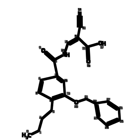 CCCCc1ccc(C(=O)NC=C(C#N)C(=O)O)cc1OCc1ccccc1